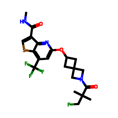 CNC(=O)c1csc2c(C(F)(F)F)cc(OC3CC4(C3)CN(C(=O)C(C)(C)CF)C4)nc12